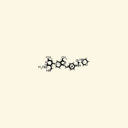 CNc1nc(C)cc(N2CCc3c(c(C)nn3CC34CCC(NC(=O)[C@H]5COCCN5)(CC3)CC4)C2)c1C=N